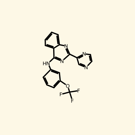 FC(F)(F)Oc1cccc(Nc2nc(-c3cnccn3)nc3ccccc23)c1